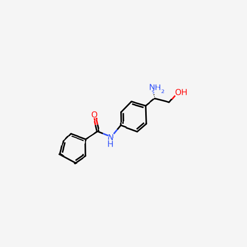 N[C@H](CO)c1ccc(NC(=O)c2ccccc2)cc1